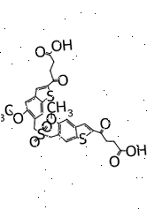 COc1cc2cc(C(=O)CCC(=O)O)sc2cc1CS(=O)(=O)Cc1cc2sc(C(=O)CCC(=O)O)cc2cc1OC